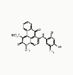 CCOC(=O)c1c2c3c(c(Nc4cc(C)c(S)cc4S)ccc3n(C)c1=O)C(=O)c1ccccc1-2